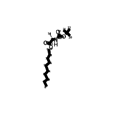 CCCCCCCCCCOC(=O)[C@H](C)NC(=O)OC(C)(C)C